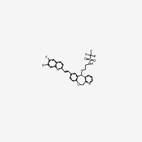 O=S(=O)(NCCSC1c2cc(/C=C/c3ccc4cc(F)c(F)cc4n3)ccc2OCc2ncccc21)C(F)(F)F